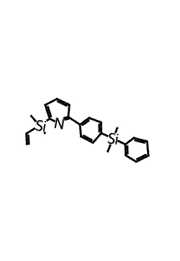 C=C[Si](C)(C)c1cccc(-c2ccc([Si](C)(C)c3ccccc3)cc2)n1